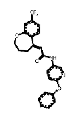 O=C(C=C1CCCOc2cc(C(F)(F)F)ccc21)Nc1ccc(Oc2ccccc2)nc1